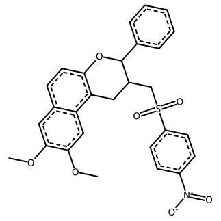 COc1cc2ccc3c(c2cc1OC)CC(CS(=O)(=O)c1ccc([N+](=O)[O-])cc1)C(c1ccccc1)O3